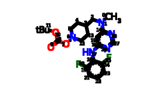 CN(CC1CCN(OC(=O)OC(C)(C)C)CC1)c1cc(Nc2c(F)cccc2F)ncn1